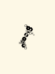 CC(C(=O)N1CCN(c2ccc(S(=O)(=O)Nc3ccc(Cl)nn3)cc2)CC1)N1CCCc2cc(Cl)ccc21